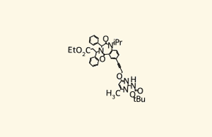 CCOC(=O)CC(c1ccccc1)N1C(=O)c2cc(C#CCOc3cc(C)nc(NC(=O)OC(C)(C)C)n3)ccc2N(C(C)C)C(=O)C1c1ccccc1